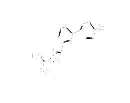 N=C(N)N/N=C/c1cccc(-c2ccc(Br)cc2)c1